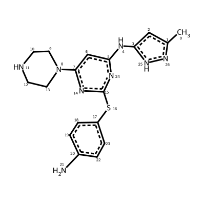 Cc1cc(Nc2cc(N3CCNCC3)nc(Sc3ccc(N)cc3)n2)[nH]n1